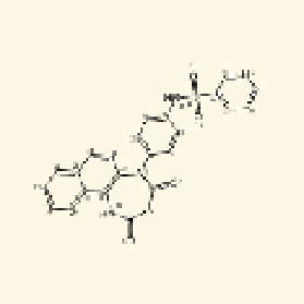 O=C1CC(=O)N(c2ccc(NS(=O)(=O)c3cccnc3)cc2)c2ccc3ccccc3c2N1